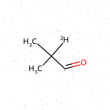 [2H]C(C)(C)[C]=O